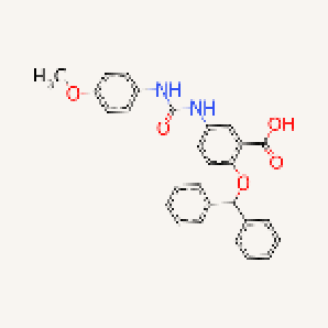 COc1ccc(NC(=O)Nc2ccc(OC(c3ccccc3)c3ccccc3)c(C(=O)O)c2)cc1